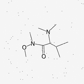 CON(C)C(=O)C(C(C)C)N(C)C